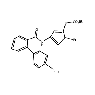 CCOC(=O)Oc1cc(NC(=O)c2ccccc2-c2ccc(C(F)(F)F)cc2)cn1C(C)C